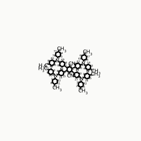 Cc1ccc(N(c2ccc(C)cc2)c2ccc(-c3c(C#N)c(-c4ccc(N(c5ccc(C)cc5)c5ccc(C)cc5)cc4)c(-c4ccc(N(c5ccc(C)cc5)c5ccc(C)cc5)cc4)c(C#N)c3-c3ccc(N(c4ccc(C)cc4)c4ccc(C)cc4)cc3)cc2)cc1